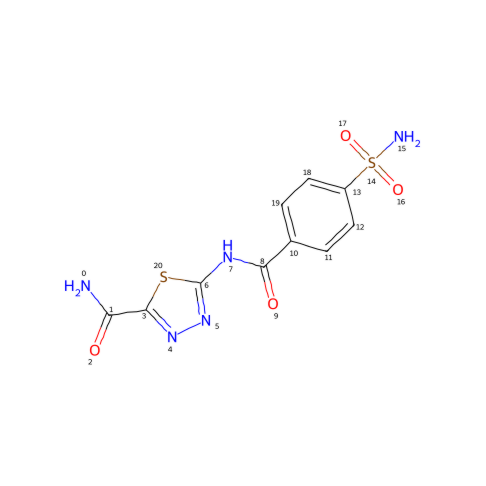 NC(=O)c1nnc(NC(=O)c2ccc(S(N)(=O)=O)cc2)s1